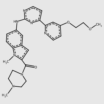 COCCOc1ccnc(-c2ccnc(Nc3ccc4c(c3)cc(C(=O)N3CCN(C)CC3)n4C)n2)c1